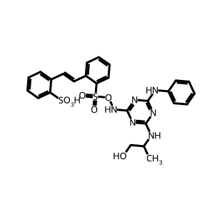 CC(CO)Nc1nc(NOS(=O)(=O)c2ccccc2C=Cc2ccccc2S(=O)(=O)O)nc(Nc2ccccc2)n1